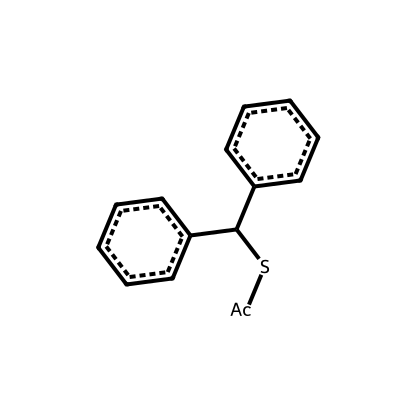 CC(=O)SC(c1ccccc1)c1ccccc1